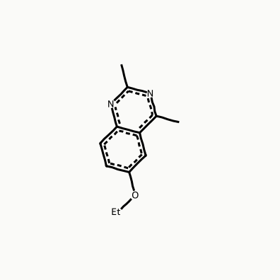 CCOc1ccc2nc(C)nc(C)c2c1